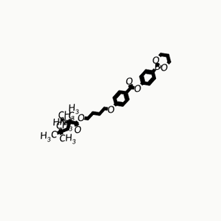 CNC(C)(CC(C)(C)C)C(=O)OCCCCOc1ccc(C(=O)Oc2ccc(B3OCCCO3)cc2)cc1